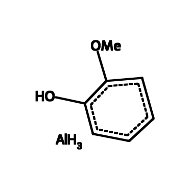 COc1ccccc1O.[AlH3]